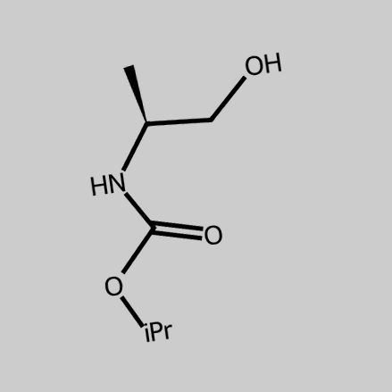 CC(C)OC(=O)N[C@@H](C)CO